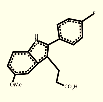 COc1ccc2[nH]c(-c3ccc(F)cc3)c(CCC(=O)O)c2c1